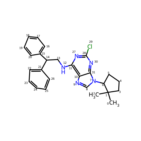 CC1(C)CCCC1n1cnc2c(NCC(c3ccccc3)c3ccccc3)nc(Cl)nc21